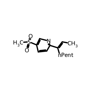 CC=C(CCCCC)c1ccc(S(C)(=O)=O)cn1